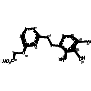 CCCc1c(CSc2nccc(OCC(=O)O)n2)ccc(C(C)=O)c1O